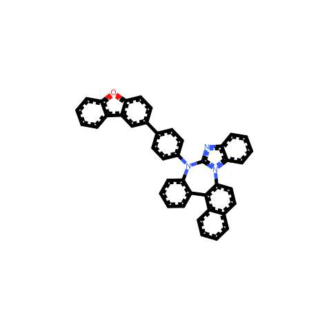 c1ccc2c(c1)-c1c(ccc3ccccc13)-n1c(nc3ccccc31)N2c1ccc(-c2ccc3oc4ccccc4c3c2)cc1